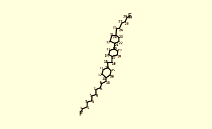 FCCCCCCCCCCC1CCC(CCC2CCC(C3CCC(CCCCCF)CC3)CC2)CC1